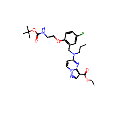 CCCN(Cc1cc(F)ccc1OCCNC(=O)OC(C)(C)C)c1ccn2ncc(C(=O)OCC)c2n1